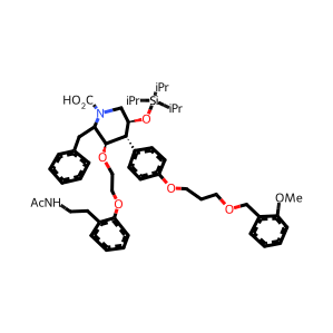 COc1ccccc1COCCCOc1ccc([C@H]2[C@H](O[Si](C(C)C)(C(C)C)C(C)C)CN(C(=O)O)C(Cc3ccccc3)[C@@H]2OCCOc2ccccc2CCNC(C)=O)cc1